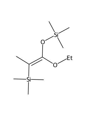 CCO/C(O[Si](C)(C)C)=C(/C)[Si](C)(C)C